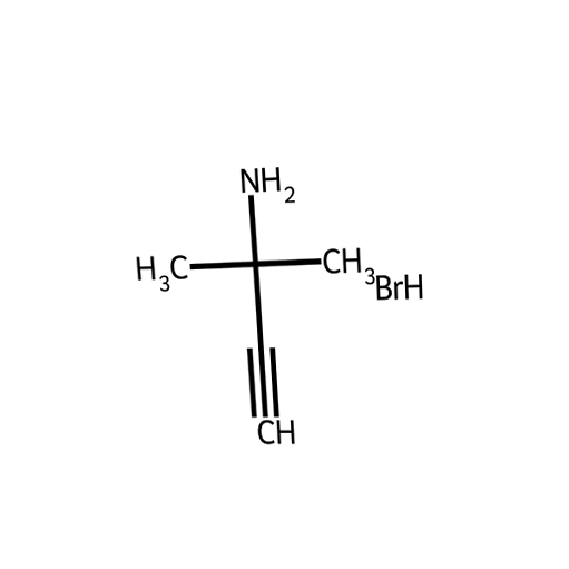 Br.C#CC(C)(C)N